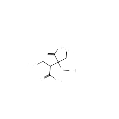 CC[C](C(=O)O)C(CC)(OC)C(=O)O